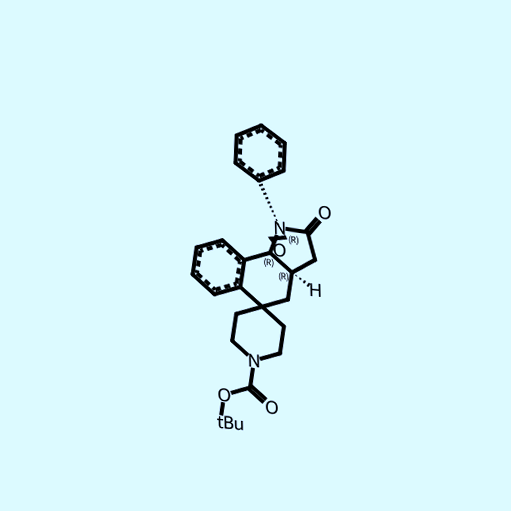 CC(C)(C)OC(=O)N1CCC2(CC1)C[C@@H]1CC(=O)N3[C@H](c4ccccc4)CO[C@@]13c1ccccc12